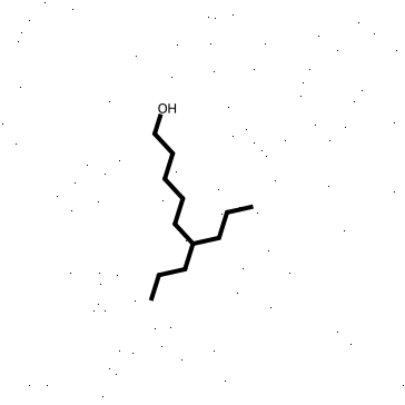 CCCC(CCC)CCCCCO